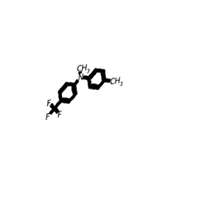 Cc1ccc(N(C)c2ccc(C(F)(F)F)cc2)cc1